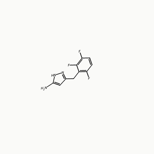 Nc1cc(Cc2c(F)ccc(F)c2F)n[nH]1